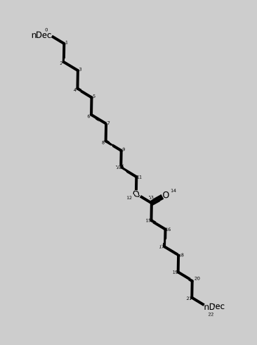 CCCCCCCCCCCCCCCCCCCCCOC(=O)CCCCCCCCCCCCCCCCC